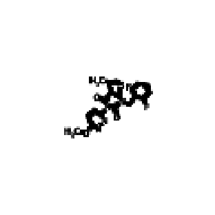 COc1ccc(-n2c(=O)c3c(C)csc3n(Cc3c(F)cccc3F)c2=O)nn1